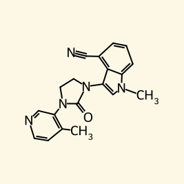 Cc1ccncc1N1CCN(c2cn(C)c3cccc(C#N)c23)C1=O